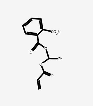 C=CC(=O)OC(OC(=O)c1ccccc1C(=O)O)C(C)C